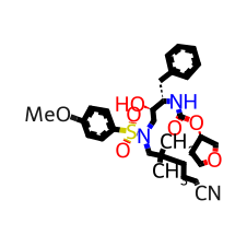 COc1ccc(S(=O)(=O)N(C[C@H](O)[C@H](Cc2ccccc2)NC(=O)O[C@H]2CCOC2)CC(C)(C)CCCC#N)cc1